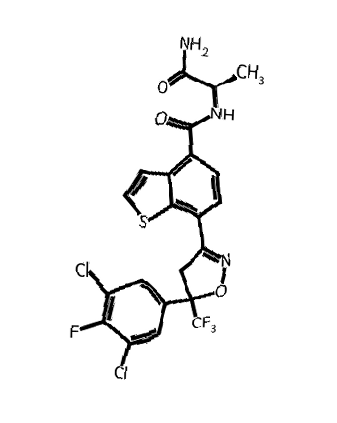 C[C@@H](NC(=O)c1ccc(C2=NOC(c3cc(Cl)c(F)c(Cl)c3)(C(F)(F)F)C2)c2sccc12)C(N)=O